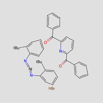 Br.CC(C)(C)c1ccccc1[N]=[Ni]=[N]c1ccccc1C(C)(C)C.O=C(c1ccccc1)c1cccc(C(=O)c2ccccc2)n1